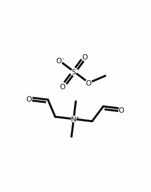 COS(=O)(=O)[O-].C[N+](C)(CC=O)CC=O